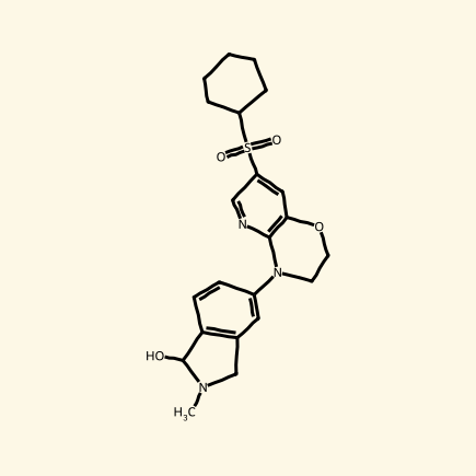 CN1Cc2cc(N3CCOc4cc(S(=O)(=O)C5CCCCC5)cnc43)ccc2C1O